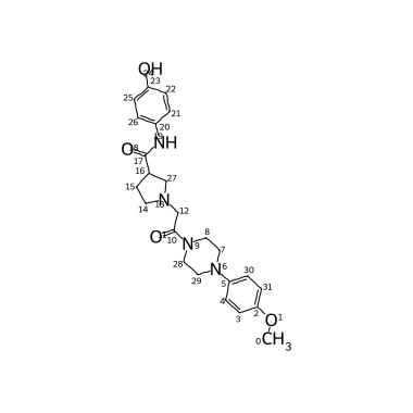 COc1ccc(N2CCN(C(=O)CN3CCC(C(=O)Nc4ccc(O)cc4)C3)CC2)cc1